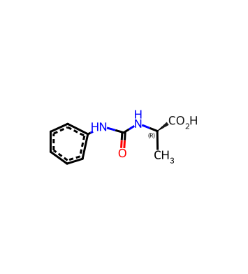 C[C@@H](NC(=O)Nc1ccccc1)C(=O)O